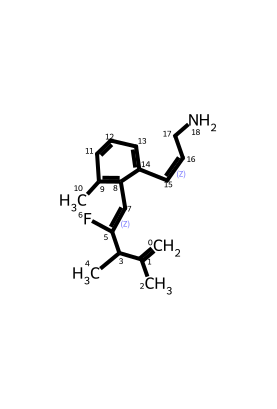 C=C(C)C(C)/C(F)=C/c1c(C)cccc1/C=C\CN